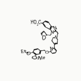 CCOc1ccc(COc2cccc(C3=CCN(Cc4nc5ccc(C(=O)O)cc5n4C[C@@H]4CCO4)CC3)n2)cc1OC